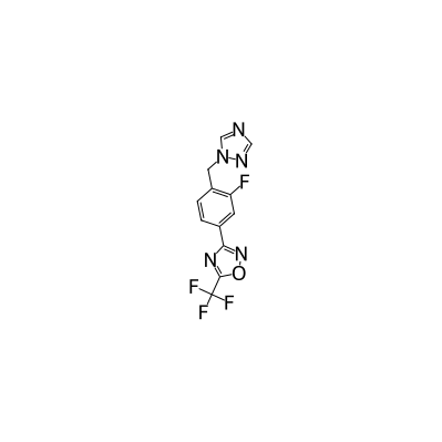 Fc1cc(-c2noc(C(F)(F)F)n2)ccc1Cn1cncn1